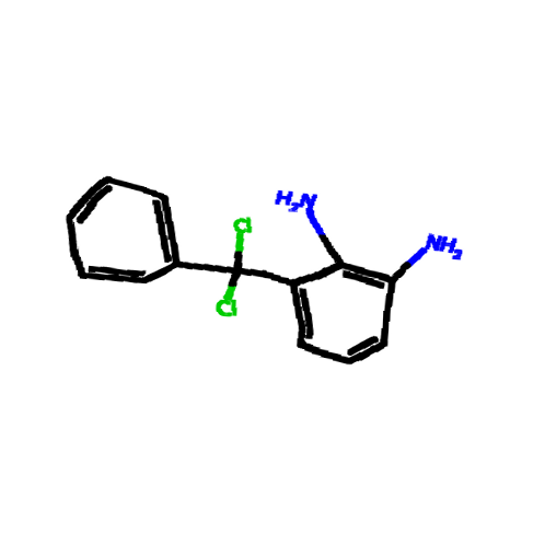 Nc1cccc(C(Cl)(Cl)c2ccccc2)c1N